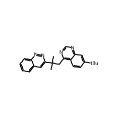 CC(C)(C)c1ccc2c(CC(C)(C)c3cc4ccccc4nn3)ncnc2c1